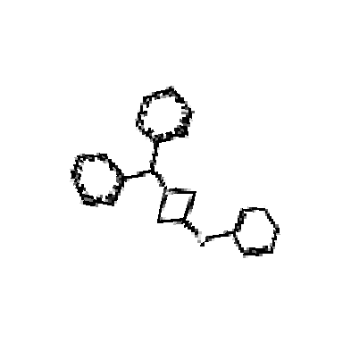 C1=CC(OC2CN(C(c3ccccc3)c3ccccc3)C2)=CCC1